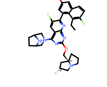 CCc1c(F)ccc2cc(O)cc(-c3nc4nc(OC[C@@]56CCCN5C[C@H](F)C6)nc(N5CC6CCC(C5)N6)c4cc3F)c12